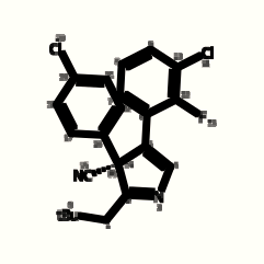 CC(C)(C)CC1=NC=C(c2cccc(Cl)c2F)[C@]1(C#N)c1ccc(Cl)cc1